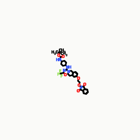 CC(C)(C)OC(=O)NC1CCC(N/C(=N/C(=O)C(F)(F)F)N2CCc3cc(OCCON4C(=O)c5ccccc5C4=O)ccc3C2)CC1